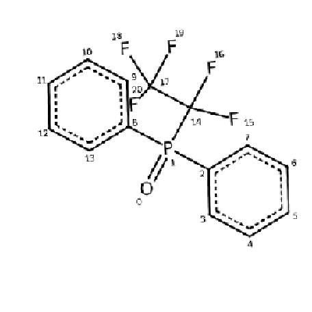 O=P(c1ccccc1)(c1ccccc1)C(F)(F)C(F)(F)F